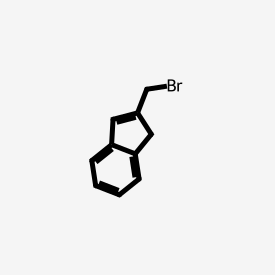 BrCC1=Cc2ccccc2C1